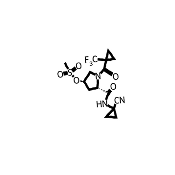 CS(=O)(=O)O[C@H]1C[C@@H](C(=O)NC2(C#N)CC2)N(C(=O)C2(C(F)(F)F)CC2)C1